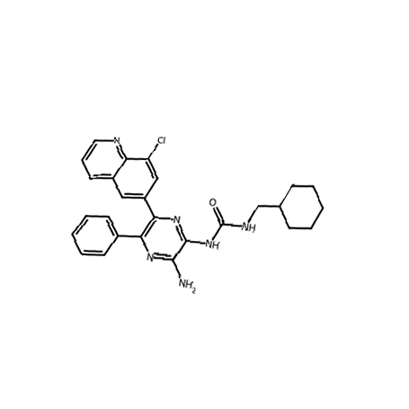 Nc1nc(-c2ccccc2)c(-c2cc(Cl)c3ncccc3c2)nc1NC(=O)NCC1CCCCC1